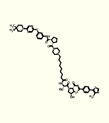 C/C(=N\C(=O)[C@@H]1C[C@@H](O)CN1C(=O)[C@@H](NC(=O)CCCCCCCCN1CCN(C(=O)[C@H]2CCC[C@@H]2C(=O)Nc2cccc(Sc3cnc(N4CCC(C)(N)CC4)cn3)c2)CC1)C(C)(C)C)c1ccc(-c2scnc2C)cc1